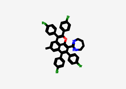 Cc1cc2c3c(c(C4=NCCCCN4)c(-c4ccc(Br)cc4)c(-c4ccc(Br)cc4)c3c1)OC(c1ccc(Br)cc1)=C2c1ccc(Br)cc1